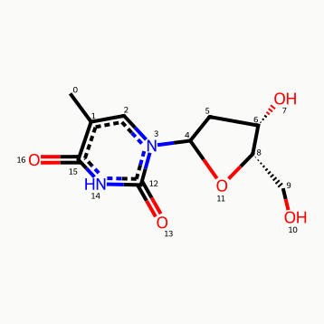 Cc1cn(C2C[C@H](O)[C@H](CO)O2)c(=O)[nH]c1=O